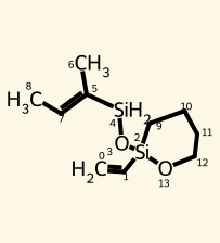 C=C[Si]1(O[SiH2]C(C)=CC)CCCCO1